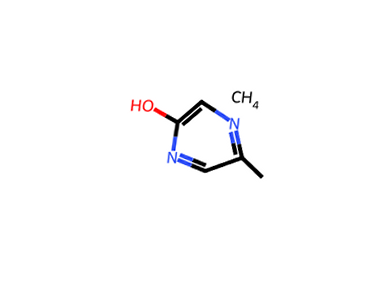 C.Cc1cnc(O)cn1